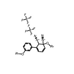 CC(C)Oc1cccc(C2=CC=CC([N+]#N)(OC(C)C)C2[N+]#N)c1.F[B-](F)(F)F.F[B-](F)(F)F